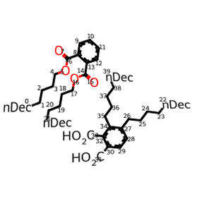 CCCCCCCCCCCCCCOC(=O)c1ccccc1C(=O)OCCCCCCCCCCCCCC.CCCCCCCCCCCCCCc1ccc(C(=O)O)c(C(=O)O)c1CCCCCCCCCCCCCC